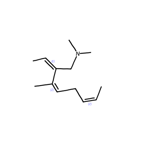 C/C=C\C/C=C(C)\C(=C/C)CN(C)C